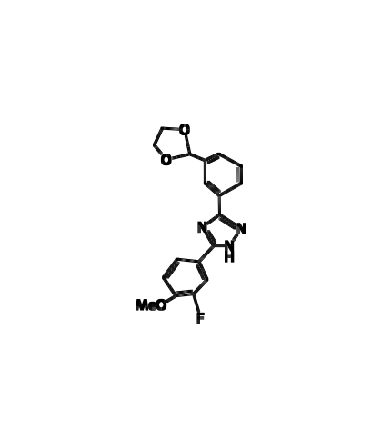 COc1ccc(-c2nc(-c3cccc(C4OCCO4)c3)n[nH]2)cc1F